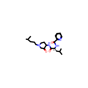 CC(C)CCCN1CCC(NC(=O)[C@H](CC(C)C)NC(=O)c2ccccn2)C(=O)C1